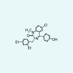 CCc1ccc(CC2N=C(c3ccc(O)cc3)c3cc(Cl)ccc3N(C)C2=O)c(CC)c1